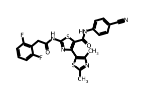 Cc1nc(C)c(-c2nc(NC(=O)Cc3c(F)cccc3F)sc2C(=O)Nc2ccc(C#N)cc2)s1